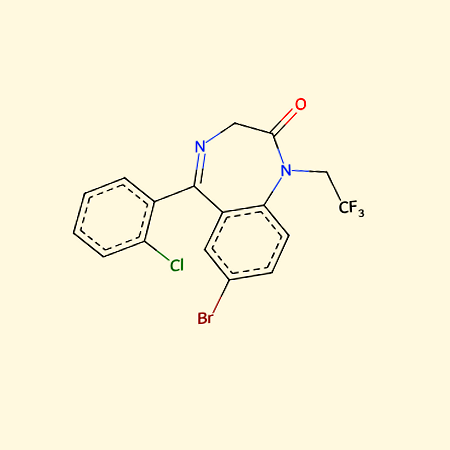 O=C1CN=C(c2ccccc2Cl)c2cc(Br)ccc2N1CC(F)(F)F